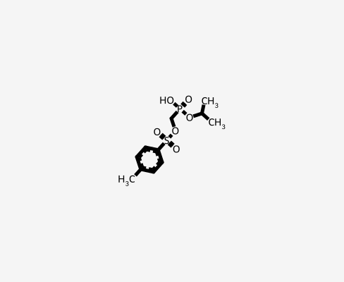 Cc1ccc(S(=O)(=O)OCP(=O)(O)OC(C)C)cc1